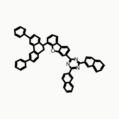 c1ccc(-c2ccc3c(c2)-c2cc(-c4ccccc4)ccc2C(c2cccc4c2oc2cc(-c5nc(-c6ccc7ccccc7c6)nc(-c6ccc7ccccc7c6)n5)ccc24)C3)cc1